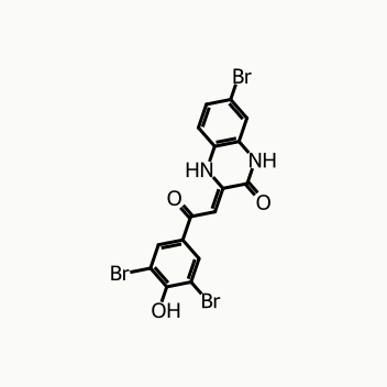 O=C1Nc2cc(Br)ccc2NC1=CC(=O)c1cc(Br)c(O)c(Br)c1